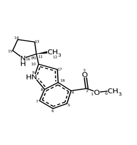 COC(=O)c1cccc2[nH]c([C@@]3(C)CCCN3)cc12